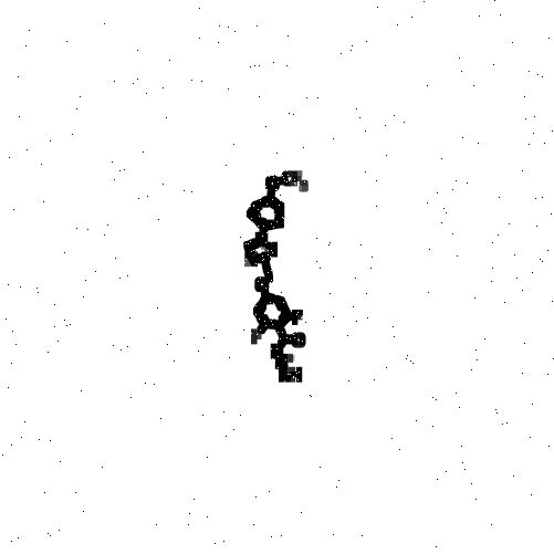 N=[N+]=NC(=O)c1c(F)cc(OCc2ncn(-c3ccc(OC(F)(F)F)cc3)n2)cc1F